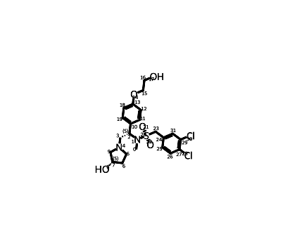 CN([C@H](CN1CC[C@H](O)C1)c1ccc(OCCO)cc1)S(=O)(=O)Cc1ccc(Cl)c(Cl)c1